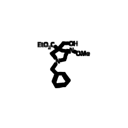 CCOC(=O)C1(CO)CN(Cc2ccccc2)CC1=NOC